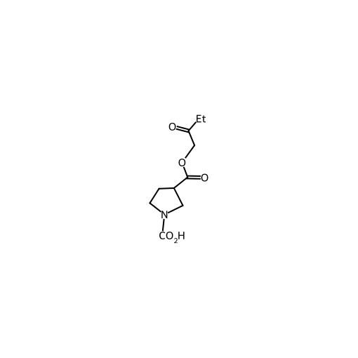 CCC(=O)COC(=O)C1CCN(C(=O)O)C1